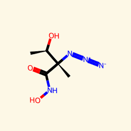 C[C@@H](O)[C@](C)(N=[N+]=[N-])C(=O)NO